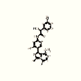 Cc1cnc(N)c2c(-c3ccc(NC(=O)C(O)c4cccc(Cl)c4)cc3F)nc(C)n12